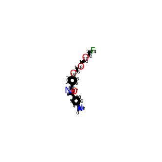 CN(C)c1ccc(-c2cnc(-c3ccc(OCCOCCOCCF)cc3)o2)cc1